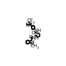 Cn1nc(C(=O)NCC2CCCCN2C(=O)Nc2ccc(-c3noc(C(F)(F)F)n3)cc2)c2ccccc21